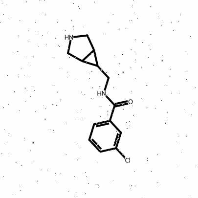 O=C(NCC1C2CNCC21)c1cccc(Cl)c1